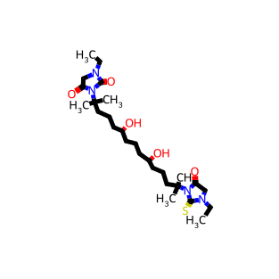 CCN1CC(=O)N(C(C)(C)CCCC(O)CCCC(O)CCCC(C)(C)N2C(=O)CN(CC)C2=S)C1=O